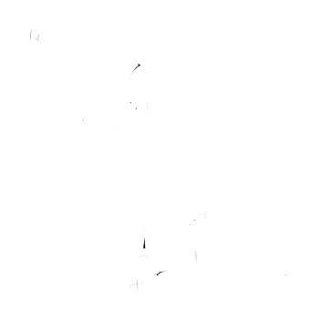 CC[C@@H](NC(=O)C[C@@H](C)C1CC[C@H]2[C@@H]3[C@H](O)CC4=CC(=O)CC[C@]4(C)[C@H]3CC[C@]12C)c1ccc(Br)s1